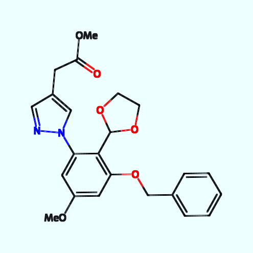 COC(=O)Cc1cnn(-c2cc(OC)cc(OCc3ccccc3)c2C2OCCO2)c1